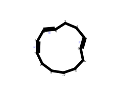 [C]1=C/CC/C=C/C=C\CCCCC/1